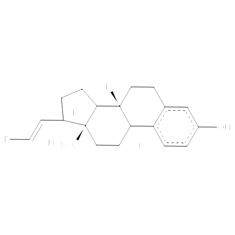 C[C@]12CC[C@@H]3c4ccc(O)cc4CC[C@H]3[C@@H]1CC[C@]2(O)C=CF